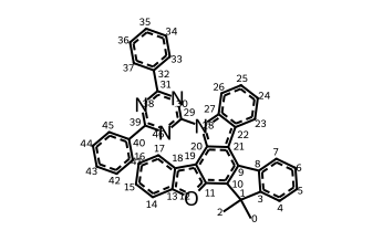 CC1(C)c2ccccc2-c2c1c1oc3ccccc3c1c1c2c2ccccc2n1-c1nc(-c2ccccc2)nc(-c2ccccc2)n1